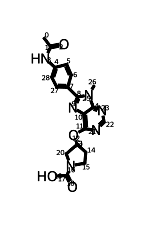 CC(=O)Nc1ccc(-c2nc3c(O[C@H]4CCN(C(=O)O)C4)ncnc3n2C)cc1